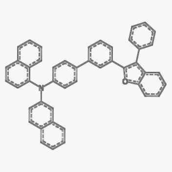 c1ccc(-c2c(-c3cccc(-c4ccc(N(c5ccc6ccccc6c5)c5cccc6ccccc56)cc4)c3)oc3ccccc23)cc1